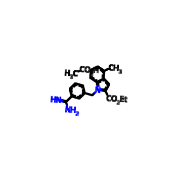 CC(=O)O.CCOC(=O)c1cc2c(C)cccc2n1Cc1cccc(C(=N)N)c1